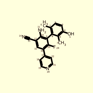 Cc1ccc(O)c(C)c1-c1c(N)c(C#N)cc(-c2ccncc2)c1F